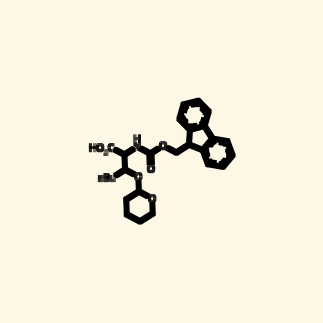 CCCCC(OC1CCCCO1)C(NC(=O)OCC1c2ccccc2-c2ccccc21)C(=O)O